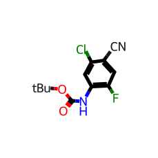 CC(C)(C)OC(=O)Nc1cc(Cl)c(C#N)cc1F